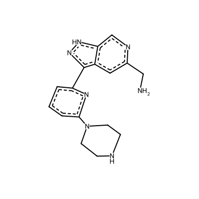 NCc1cc2c(-c3cccc(N4CCNCC4)n3)n[nH]c2cn1